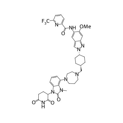 COc1cc2nn([C@H]3CC[C@H](CN4CCCN(c5cccc6c5n(C)c(=O)n6C5CCC(=O)NC5=O)CC4)CC3)cc2cc1NC(=O)c1cccc(C(F)(F)F)n1